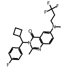 Cc1nc2ccc(N(C)CCC(F)(F)F)cc2c(=O)n1C(c1ccc(F)cc1)C1CCC1